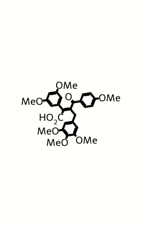 COc1ccc(C(=O)C(Cc2cc(OC)c(OC)c(OC)c2)=C(C(=O)O)c2cc(OC)cc(OC)c2)cc1